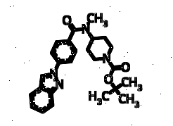 CN(C(=O)c1ccc(-n2cc3ccccc3n2)cc1)C1CCN(C(=O)OC(C)(C)C)CC1